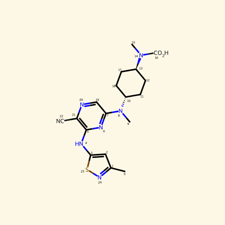 Cc1cc(Nc2nc(N(C)[C@H]3CC[C@H](N(C)C(=O)O)CC3)cnc2C#N)sn1